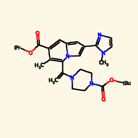 C=C(c1c(C)c(C(=O)OC(C)C)cc2cc(-c3nccn3C)cn12)N1CCN(C(=O)OC(C)(C)C)CC1